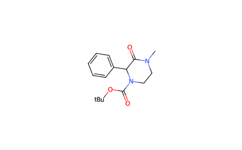 CN1CCN(C(=O)OC(C)(C)C)C(c2ccccc2)C1=O